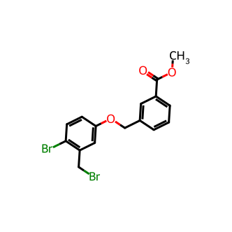 COC(=O)c1cccc(COc2ccc(Br)c(CBr)c2)c1